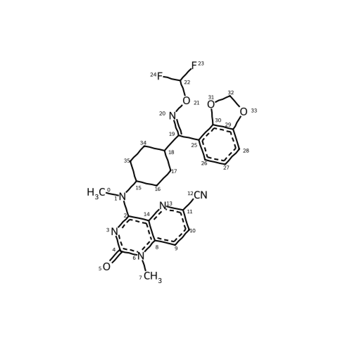 CN(c1nc(=O)n(C)c2ccc(C#N)nc12)C1CCC(/C(=N/OC(F)F)c2cccc3c2OCO3)CC1